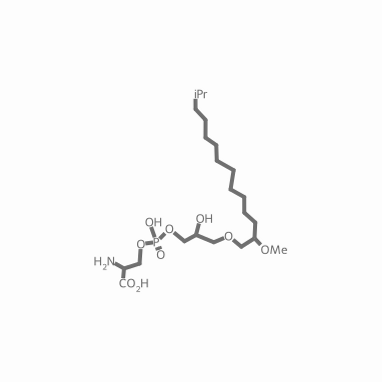 COC(CCCCCCCCCCC(C)C)COCC(O)COP(=O)(O)OCC(N)C(=O)O